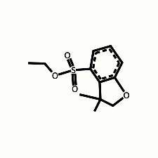 CCOS(=O)(=O)c1cccc2c1C(C)(C)CO2